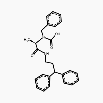 C[C@H](C(=O)NCCC(c1ccccc1)c1ccccc1)N(Cc1ccccc1)C(=O)O